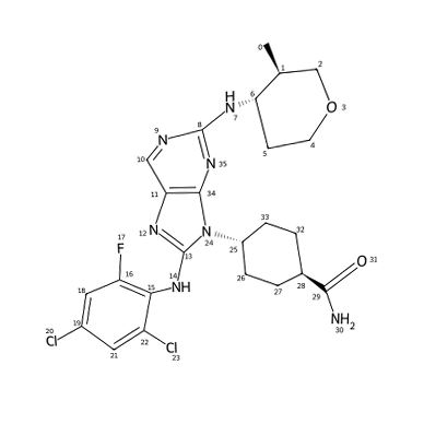 C[C@H]1COCC[C@@H]1Nc1ncc2nc(Nc3c(F)cc(Cl)cc3Cl)n([C@H]3CC[C@H](C(N)=O)CC3)c2n1